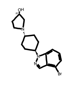 O[C@@H]1CCN([C@H]2CC[C@H](n3ncc4c(Br)cccc43)CC2)C1